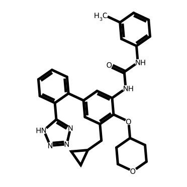 Cc1cccc(NC(=O)Nc2cc(-c3ccccc3-c3nnn[nH]3)cc(CC3CC3)c2OC2CCOCC2)c1